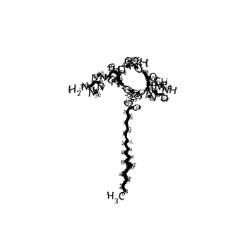 CCCCCCCCCCCCCCCCCC(=O)OCSP1(=O)OC[C@H]2O[C@@H](n3cnc4c(N)ncnc43)[C@H](F)[C@@H]2OCP(=O)(O)OC[C@@H](OC)[C@@H](F)[C@H](n2cnc3c(=O)[nH]cnc32)O1